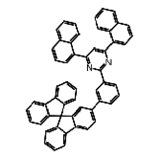 c1cc(-c2ccc3c(c2)C2(c4ccccc4-c4ccccc42)c2ccccc2-3)cc(-c2nc(-c3cccc4ccccc34)cc(-c3cccc4ccccc34)n2)c1